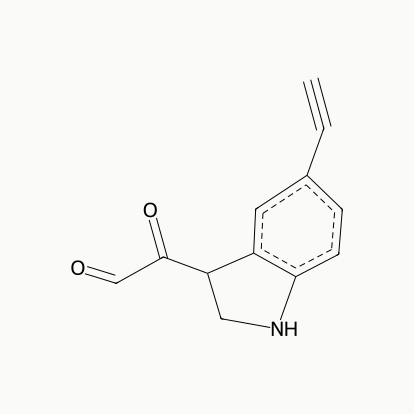 C#Cc1ccc2c(c1)C(C(=O)C=O)CN2